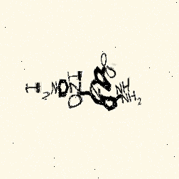 COC(=O)c1ccc(Cn2c(C(=O)N[C@H]3CC[C@H](N)CC3)cc3ccc(C(=N)N)cc32)cc1